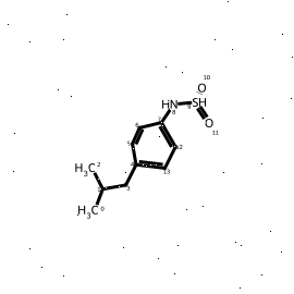 CC(C)Cc1ccc(N[SH](=O)=O)cc1